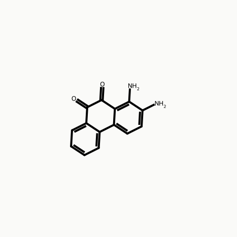 Nc1ccc2c(c1N)C(=O)C(=O)c1ccccc1-2